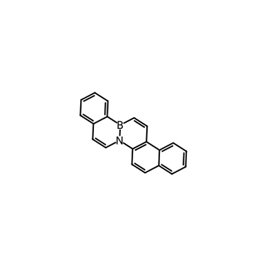 C1=Cc2c(ccc3ccccc23)N2C=Cc3ccccc3B12